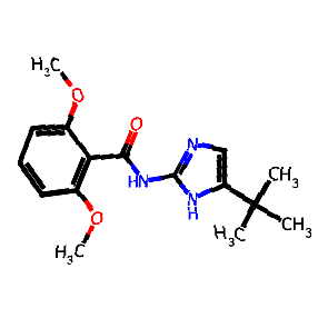 COc1cccc(OC)c1C(=O)Nc1ncc(C(C)(C)C)[nH]1